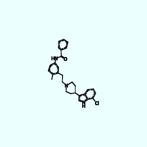 Cc1ccc(NC(=O)c2ccccc2)cc1CCN1CCC(c2c[nH]c3c(Cl)cccc23)CC1